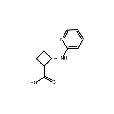 O=C(O)[C@H]1CC[C@@H]1Nc1ccccn1